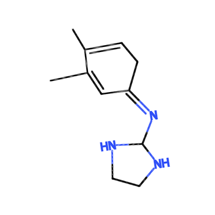 CC1=CCC(=NC2NCCN2)C=C1C